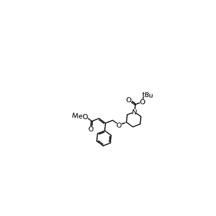 COC(=O)/C=C(/CO[C@@H]1CCCN(C(=O)OC(C)(C)C)C1)c1ccccc1